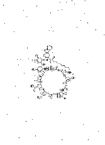 CCCCCCCCCC(=O)NC(Cc1c[nH]c2ccccc12)C(=O)NC(CC(N)=O)C(=O)NC(CC(=O)O)C(=O)NC1C(=O)NCC(=O)NC(CCCN)C(=O)NC(CC(=O)O)C(=O)NC(C)C(=O)NC(C(OC)C(=O)O)C(=O)NCC(=O)NC(CC(N)=O)C(=O)NC(CCC(=O)O)C(=O)NC(C(C)CC)C(=O)OC1C